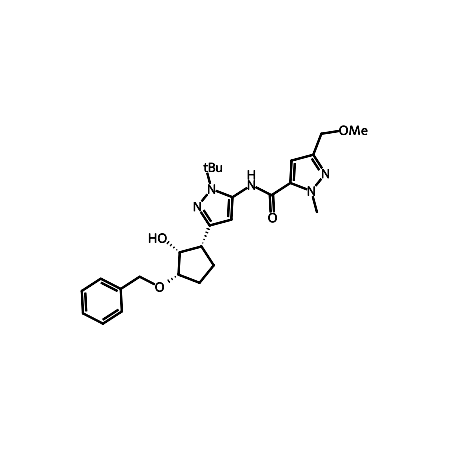 COCc1cc(C(=O)Nc2cc([C@@H]3CC[C@H](OCc4ccccc4)[C@@H]3O)nn2C(C)(C)C)n(C)n1